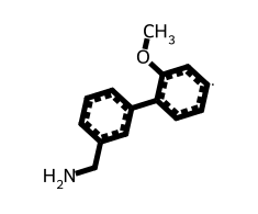 COc1c[c]ccc1-c1cccc(CN)c1